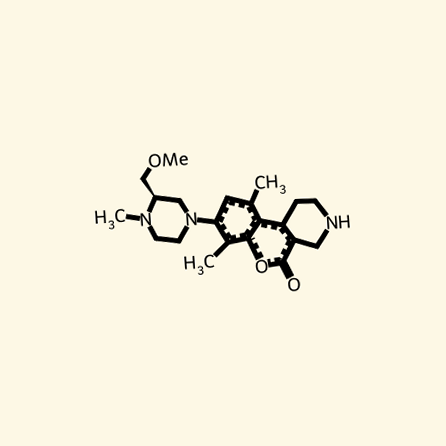 COC[C@H]1CN(c2cc(C)c3c4c(c(=O)oc3c2C)CNCC4)CCN1C